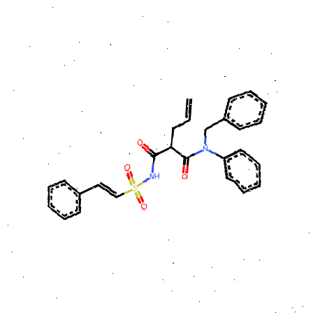 C=CCC(C(=O)NS(=O)(=O)C=Cc1ccccc1)C(=O)N(Cc1ccccc1)c1ccccc1